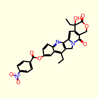 CCc1c2c(nc3ccc(OC(=O)c4ccc([N+](=O)[O-])cc4)cc13)-c1cc3c(c(=O)n1C2)COC(=O)C3(O)CC